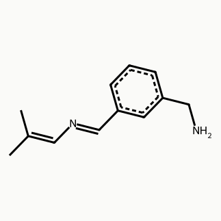 CC(C)=C/N=C/c1cccc(CN)c1